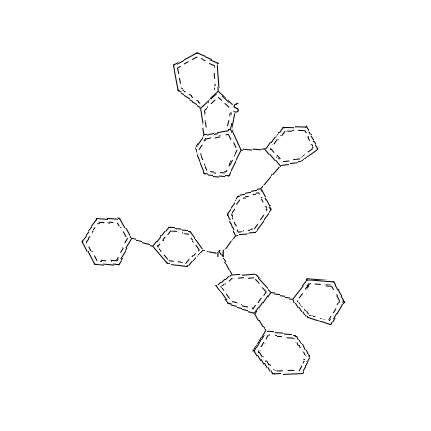 c1ccc(-c2ccc(N(c3ccc(-c4ccccc4-c4cccc5c4sc4ccccc45)cc3)c3ccc(-c4ccccc4)c(-c4ccccc4)c3)cc2)cc1